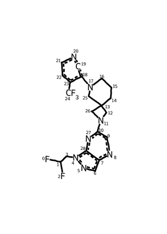 FC(F)Cn1ncc2ncc(N3CC4(CCCN(c5cnccc5C(F)(F)F)C4)C3)nc21